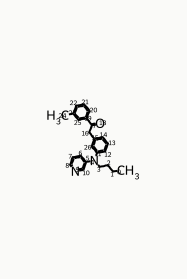 CCCCN(c1cccnc1)c1cccc(CC(=O)c2cccc(C)c2)c1